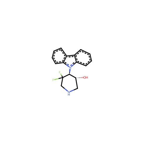 O[C@@H]1CNCC(F)(F)[C@H]1n1c2ccccc2c2ccccc21